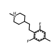 Cc1cc(F)c(CCC2CC[SiH](C)CC2)c(F)c1